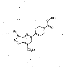 CCOC(=O)c1cc(C2=CCN(C(=O)OC(C)(C)C)CC2)nc2c1cnn2C(C)C